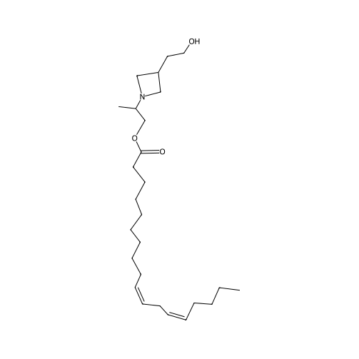 CCCC/C=C\C/C=C\CCCCCCCCC(=O)OCC(C)N1CC(CCO)C1